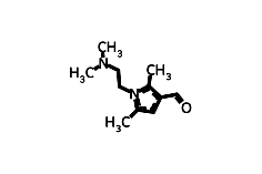 Cc1cc(C=O)c(C)n1CCN(C)C